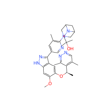 COc1cc2[nH]nc(-c3cnc(N4CC5CC(C4)N5CC(C)(C)O)c(C)c3)c2cc1O[C@H](C)c1c(C)cnnc1C